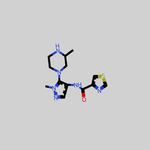 CC1CN(c2c(NC(=O)c3cscn3)cnn2C)CCN1